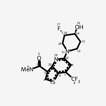 CNC(=O)c1csc2c(C(F)(F)F)cc(N3CC[C@H](O)[C@@H](F)C3)nc12